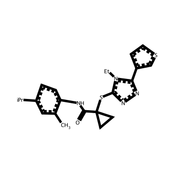 CCn1c(SC2(C(=O)Nc3ccc(C(C)C)cc3C)CC2)nnc1-c1ccsc1